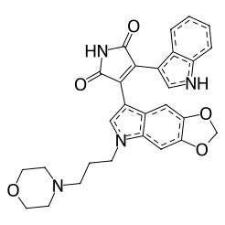 O=C1NC(=O)C(c2cn(CCCN3CCOCC3)c3cc4c(cc23)OCO4)=C1c1c[nH]c2ccccc12